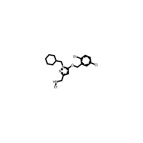 CCNCc1cc(OCc2cc(Cl)ccc2CC)n(CC2CCCCC2)n1